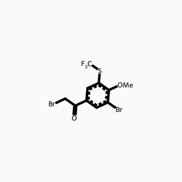 COc1c(Br)cc(C(=O)CBr)cc1SC(F)(F)F